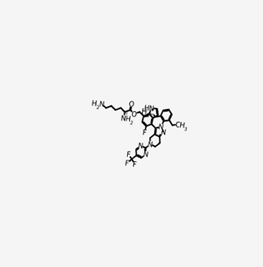 CCc1cccc(CC)c1-n1nc2c(c1-c1c(F)cc(COC(=O)[C@@H](N)CCCCN)c3[nH]ccc13)CN(c1ncc(C(F)(F)F)cn1)CC2